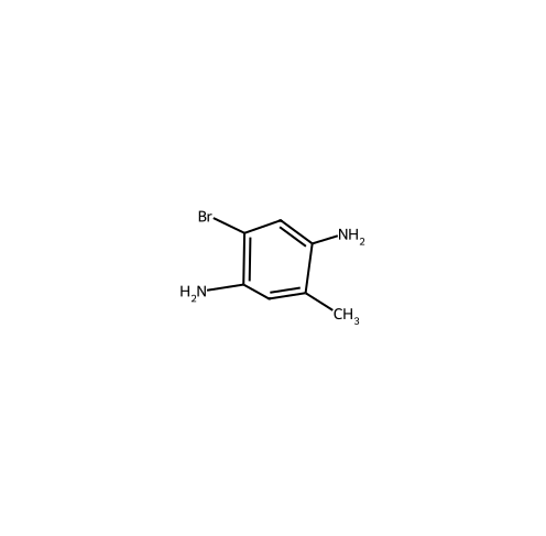 Cc1cc(N)c(Br)cc1N